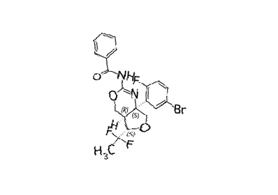 CC(F)(F)[C@H]1OC[C@]2(c3cc(Br)ccc3F)N=C(NC(=O)c3ccccc3)OC[C@H]12